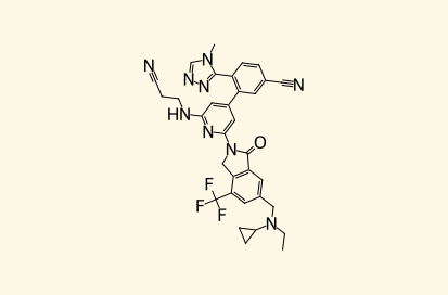 CCN(Cc1cc2c(c(C(F)(F)F)c1)CN(c1cc(-c3cc(C#N)ccc3-c3nncn3C)cc(NCCC#N)n1)C2=O)C1CC1